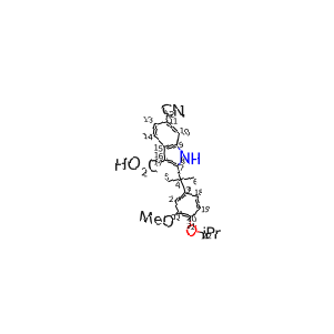 COc1cc(C(C)(C)c2[nH]c3cc(C#N)ccc3c2C(=O)O)ccc1OC(C)C